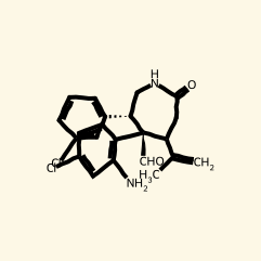 C=C(C)C1CC(=O)NC[C@@H](c2cccc(Cl)c2)[C@@]1(C=O)c1ccc(Cl)cc1N